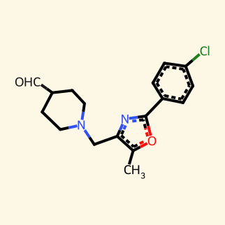 Cc1oc(-c2ccc(Cl)cc2)nc1CN1CCC(C=O)CC1